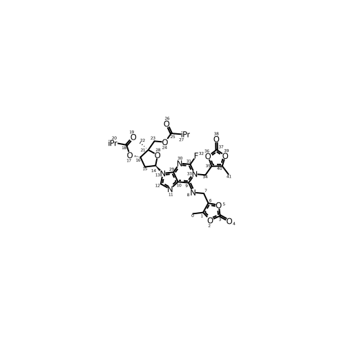 Cc1oc(=O)oc1C/N=c1/c2ncn([C@H]3C[C@H](OC(=O)C(C)C)[C@@](C)(COC(=O)C(C)C)O3)c2nc(F)n1Cc1oc(=O)oc1C